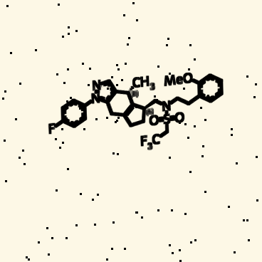 COc1ccccc1CCN(C[C@H]1CCC2=C1[C@@H](C)c1cnn(-c3ccc(F)cc3)c1C2)S(=O)(=O)CC(F)(F)F